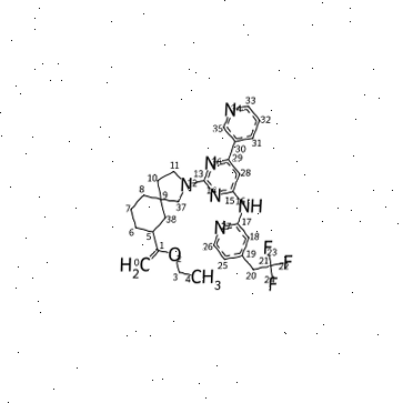 C=C(OCC)C1CCCC2(CCN(c3nc(Nc4cc(CC(F)(F)F)ccn4)cc(-c4cccnc4)n3)C2)C1